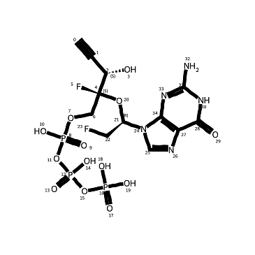 C#C[C@H](O)[C@@](F)(COP(=O)(O)OP(=O)(O)OP(=O)(O)O)O[C@H](CF)n1cnc2c(=O)[nH]c(N)nc21